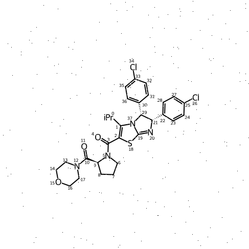 CC(C)C1=C(C(=O)N2CCC[C@H]2C(=O)N2CCOCC2)SC2=N[C@@H](c3ccc(Cl)cc3)[C@@H](c3ccc(Cl)cc3)N21